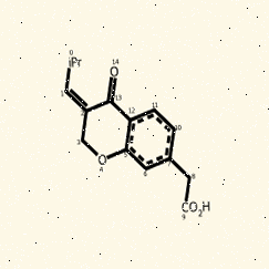 CC(C)C=C1COc2cc(CC(=O)O)ccc2C1=O